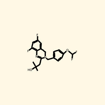 CC(C)(O)CC1=Nc2c(F)cc(F)cc2CN1Cc1ccc(OC(F)F)cc1